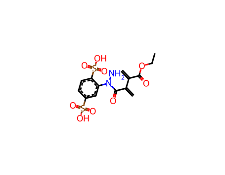 C=C(C(=C)C(=O)N(N)c1cc(S(=O)(=O)O)ccc1S(=O)(=O)O)C(=O)OCC